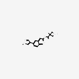 Cn1cc(-c2ccc3cnc(NC(=O)C4(F)CNC4)cc3c2)cn1